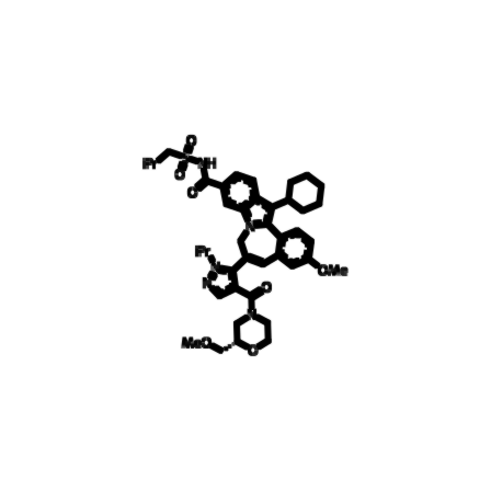 COC[C@@H]1CN(C(=O)c2cnn(C(C)C)c2C2=Cc3cc(OC)ccc3-c3c(C4CCCCC4)c4ccc(C(=O)NS(=O)(=O)CC(C)C)cc4n3C2)CCO1